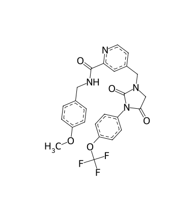 COc1ccc(CNC(=O)c2cc(CN3CC(=O)N(c4ccc(OC(F)(F)F)cc4)C3=O)ccn2)cc1